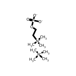 C[N+](C)(C)C.C[N+](C)(C)CCOP(=O)([O-])[O-]